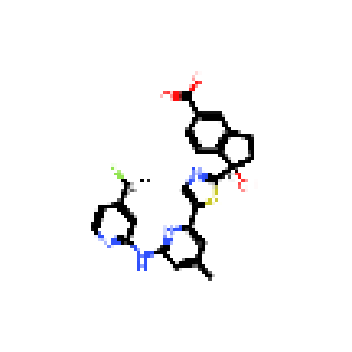 Cc1cc(Nc2cc([C@@H](C)F)ccn2)nc(-c2cnc([C@@]3(O)CCc4cc(C(=O)O)ccc43)s2)c1